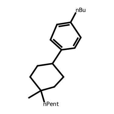 CCCCCC1(C)CCC(c2ccc(CCCC)cc2)CC1